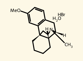 Br.COc1ccc2c(c1)[C@@]13CCCC[C@H]1[C@@H](C2)N(C)CC3.O